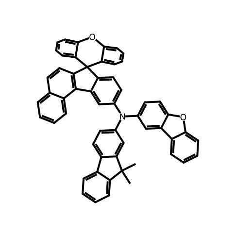 CC1(C)c2ccccc2-c2ccc(N(c3ccc4c(c3)-c3c(ccc5ccccc35)C43c4ccccc4Oc4ccccc43)c3ccc4oc5ccccc5c4c3)cc21